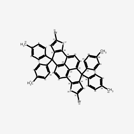 Cc1ccc(C2(c3ccc(C)cc3)c3cc(Br)sc3-c3ccc4c5c(ccc2c35)-c2sc(Br)cc2C4(c2ccc(C)cc2)c2ccc(C)cc2)cc1